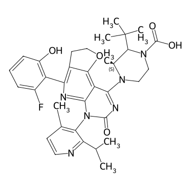 Cc1ccnc(C(C)C)c1-n1c(=O)nc(N2CCN(C(=O)O)C(C(C)(C)C)[C@@H]2C)c2c3c(c(-c4c(O)cccc4F)nc21)CCO3